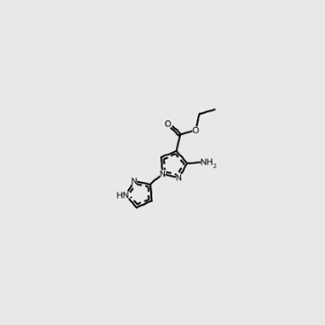 CCOC(=O)c1cn(-c2cc[nH]n2)nc1N